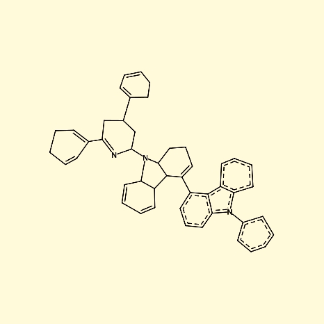 C1=CCCC(C2CC(C3=CCCC=C3)=NC(N3C4C=CC=CC4C4C(c5cccc6c5c5ccccc5n6-c5ccccc5)=CCCC43)C2)=C1